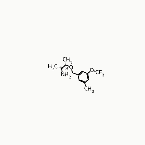 Cc1cc(CO[C@@H](C)[C@@H](C)N)cc(OC(F)(F)F)c1